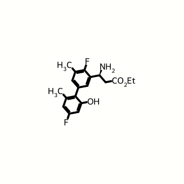 CCOC(=O)C[C@H](N)c1cc(-c2c(C)cc(F)cc2O)cc(C)c1F